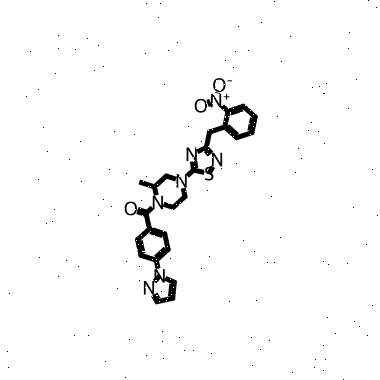 CC1CN(c2nc(Cc3ccccc3[N+](=O)[O-])ns2)CCN1C(=O)c1ccc(-n2cccn2)cc1